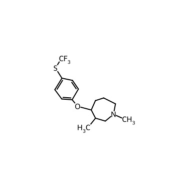 CC1CN(C)CCCC1Oc1ccc(SC(F)(F)F)cc1